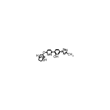 Cc1nnn(-c2ccc(-c3ccc(OC4C[C@H]5CC[C@@H](C4)N5)nn3)c(O)c2)n1